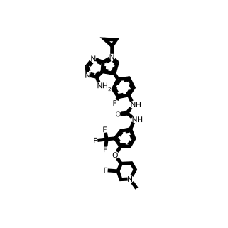 CN1CCC(Oc2ccc(NC(=O)Nc3ccc(-c4cn(C5CC5)c5ncnc(N)c45)cc3F)cc2C(F)(F)F)C(F)C1